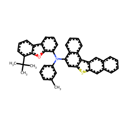 Cc1cccc(N(c2cc3sc4cc5ccccc5cc4c3c3ccccc23)c2cccc3c2oc2c(C(C)(C)C)cccc23)c1